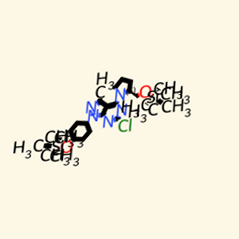 Cc1nn([C@H]2CC[C@@H](O[Si](C)(C)C(C)(C)C)CC2)c2nc(Cl)nc(N3CCC[C@H]3CO[Si](C)(C)C(C)(C)C)c12